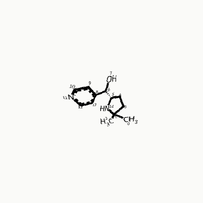 CC1(C)CC[C@@H](C(O)c2ccncc2)N1